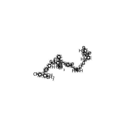 C/C=S(/NC(=O)c1ccc(N2CCN(CC3=C(c4ccc(Cl)cc4)CCC(C)(C)C3)CC2)cc1)c1ccc(N[C@H](CCN2CCN(C(=O)CCCN3C=C(COCCOCCNc4cccc5c4C(=O)N(C4CCC(=O)NC4=O)C5=O)NN3)CC2)CSc2ccccc2)c(S(=O)(=O)C(F)(F)F)c1